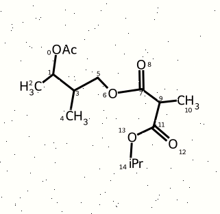 CC(=O)OC(C)C(C)COC(=O)C(C)C(=O)OC(C)C